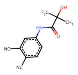 CC(O)(C(=O)Nc1ccc(C#N)c(C#N)c1)C(F)(F)F